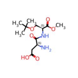 COC(=O)[C@H](COC(C)(C)C)NC(=O)[C@@H](N)CC(=O)O